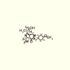 [2H]C([2H])(O)C(C)n1nc(C(F)(F)F)c2c(=O)n(Cc3ccc(OC)cc3)ncc21